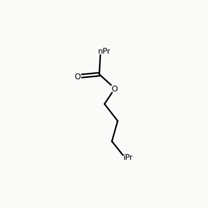 CCCC(=O)OCCCC(C)C